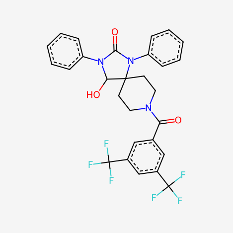 O=C(c1cc(C(F)(F)F)cc(C(F)(F)F)c1)N1CCC2(CC1)C(O)N(c1ccccc1)C(=O)N2c1ccccc1